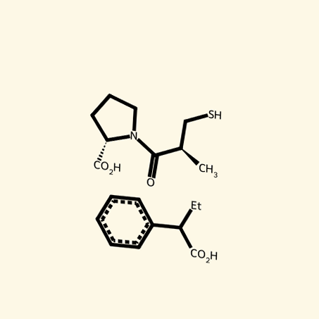 CCC(C(=O)O)c1ccccc1.C[C@H](CS)C(=O)N1CCC[C@H]1C(=O)O